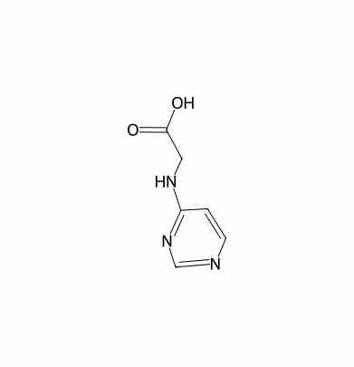 O=C(O)CNc1ccncn1